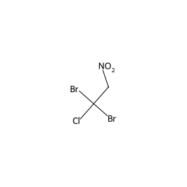 O=[N+]([O-])CC(Cl)(Br)Br